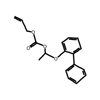 C=CCOC(=O)OC(C)Oc1ccccc1-c1ccccc1